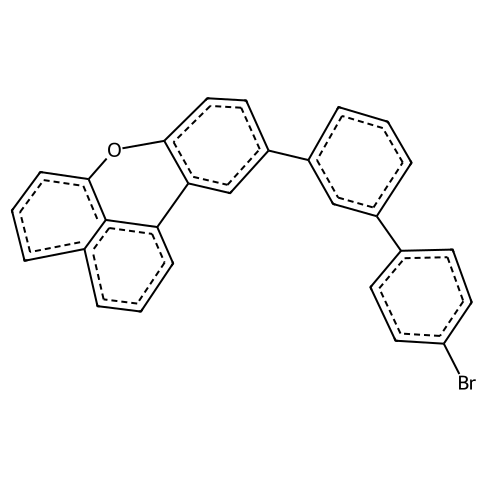 Brc1ccc(-c2cccc(-c3ccc4c(c3)-c3cccc5cccc(c35)O4)c2)cc1